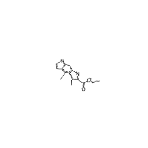 CCOC(=O)C1=Nc2cc3c(c(C)c2=C1C)C=CN=3